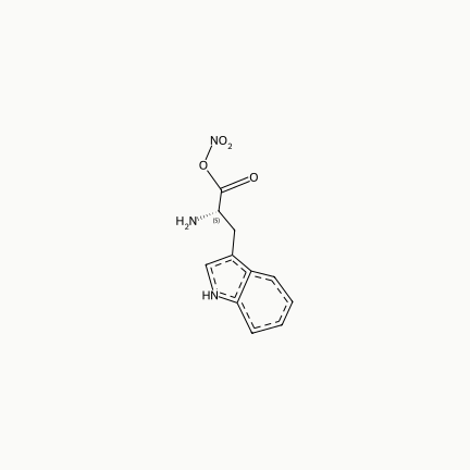 N[C@@H](Cc1c[nH]c2ccccc12)C(=O)O[N+](=O)[O-]